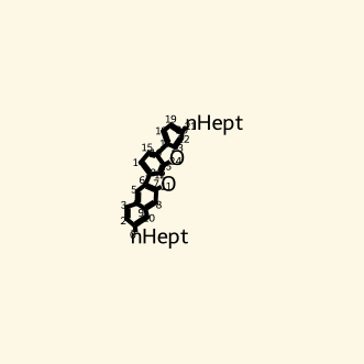 CCCCCCCc1ccc2cc3c(cc2c1)oc1c3ccc2c3ccc(CCCCCCC)cc3oc21